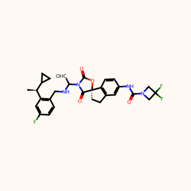 C[C@H](c1cc(F)ccc1CNC(C=O)N1C(=O)O[C@]2(CCc3cc(NC(=O)N4CC(F)(F)C4)ccc32)C1=O)C1CC1